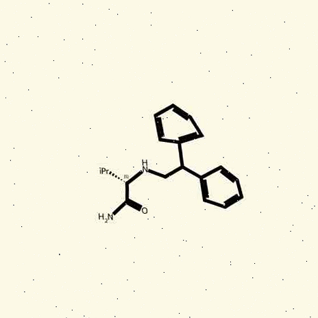 CC(C)[C@H](NCC(c1ccccc1)c1ccccc1)C(N)=O